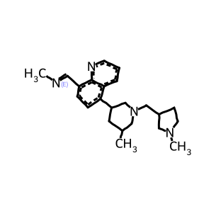 C/N=C/c1ccc(C2CC(C)CN(CC3CCN(C)C3)C2)c2cccnc12